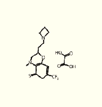 CN1CC(CCN2CCC2)OC2=C1C(=S)CC(C(F)(F)F)=C2.O=C(O)C(=O)O